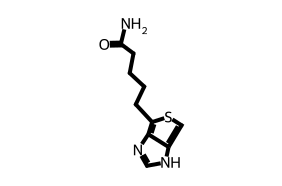 NC(=O)CCCCc1scc2[nH]cnc12